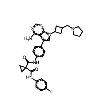 Nc1ncnc2c1c(-c1ccc(NC(=O)C3(C(=O)Nc4ccc(F)cc4)CC3)cc1)cn2C1CC(CN2CCCC2)C1